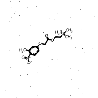 Cc1cc(OCC(=O)OCC[Si](C)(C)C)ccc1[N+](=O)[O-]